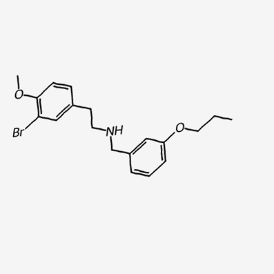 CCCOc1cccc(CNCCc2ccc(OC)c(Br)c2)c1